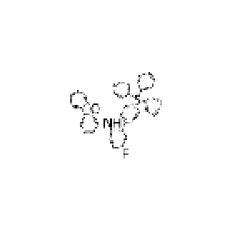 Fc1ccc(Nc2cccc3c2oc2ccccc23)c(-c2ccc(S(c3ccccc3)(c3ccccc3)c3ccccc3)cc2)c1